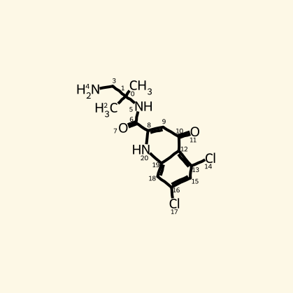 CC(C)(CN)NC(=O)c1cc(=O)c2c(Cl)cc(Cl)cc2[nH]1